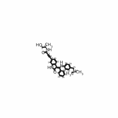 C[C@@H](CO)NC(=O)C#Cc1ccc2c(c1)NC(=O)C2=C(Nc1ccc(CN(C)C)cc1)c1ccccc1